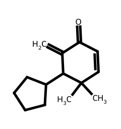 C=C1C(=O)C=CC(C)(C)C1C1CCCC1